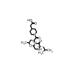 CC(C)C[C@@H]1NCCN([C@@H](CC(C)C)C(=O)N2CCC(CC(=O)O)CC2)C1=O